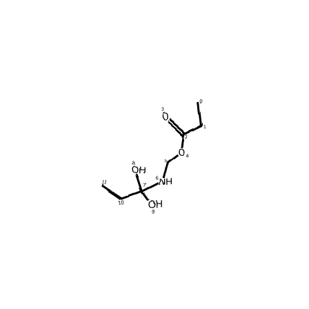 CCC(=O)OCNC(O)(O)CC